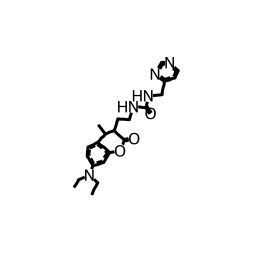 CCN(CC)c1ccc2c(c1)OC(=O)C(CCNC(=O)NCc1ccncn1)C2C